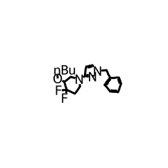 CCCCOC1CN(c2ccn(Cc3ccccc3)n2)CCC1(F)F